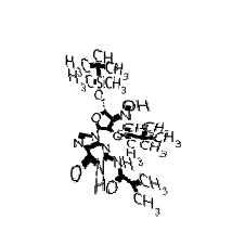 CC(C)C(=O)Nc1nc2c(ncn2[C@@H]2O[C@H](CO[Si](C)(C)C(C)(C)C)/C(=N\O)C2O[Si](C)(C)C(C)(C)C)c(=O)[nH]1